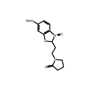 COc1ccc2c(c1)OC(CCN1CCCC1=O)[N+]2=O